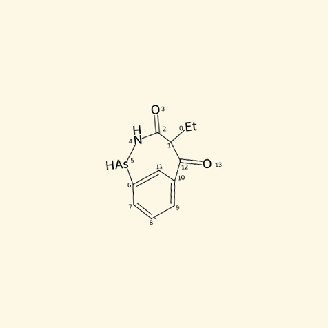 CCC1C(=O)N[AsH]c2c[c]cc(c2)C1=O